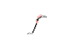 CCCCCCCCC=CCCCCCCCCOc1cc(C(=O)CC(=O)OC)cs1